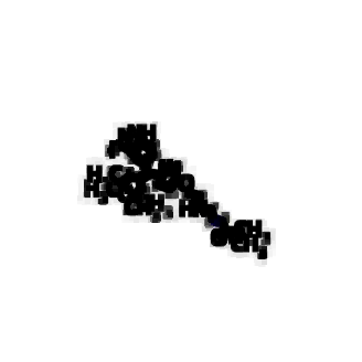 CN(C)C(=O)/C=C/CNCCOc1ccc(C(=C2CC(C)(C)OC(C)(C)C2)c2ccc3[nH]nc(F)c3c2)nn1